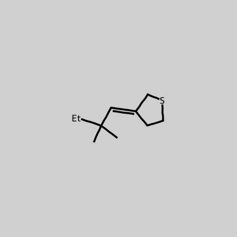 CCC(C)(C)/C=C1\CCSC1